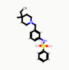 CC1(CC#N)CCN(Cc2cccc(NS(=O)(=O)c3ccccc3)c2)CC1